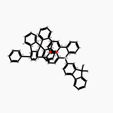 CC1(C)c2ccccc2-c2ccc(N(c3ccc(-c4ccc(-c5ccccc5)c5c4C4(c6ccccc6Oc6ccccc64)c4ccccc4-5)cc3)c3ccccc3-c3ccccc3)cc21